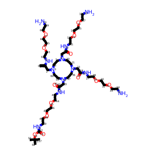 C=C(CN1CCN(CC(=O)NCCOCCOCCN)CCN(CC(=O)NCCOCCOCCN)CCN(CC(=O)NCCOCCOCCNC(=O)OC(C)(C)C)CC1)NCCOCCOCCN